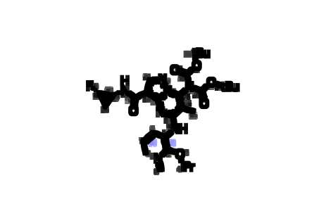 C=N/C(OC(C)C)=C(\C=C/C)Nc1nc2c(C(=O)N[C@@H]3C[C@@H]3F)cnn2c(N(C(=O)OC(C)(C)C)C(=O)OC(C)(C)C)c1C